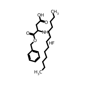 CCCCCCCCCCCCC.F.NC(CC(=O)O)C(=O)OCc1ccccc1